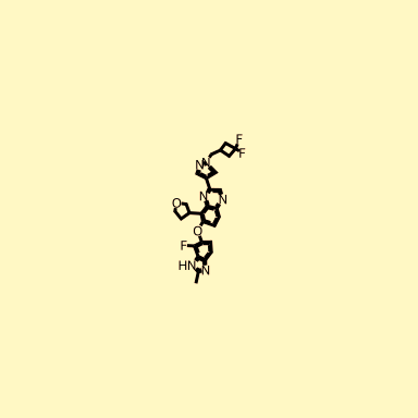 Cc1nc2ccc(Oc3ccc4ncc(-c5cnn(CC6CC(F)(F)C6)c5)nc4c3C3CCOC3)c(F)c2[nH]1